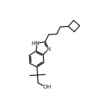 CC(C)(CO)c1ccc2[nH]c(CCCC3CCC3)nc2c1